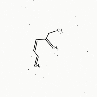 C=C/C=C\C(=C)CC